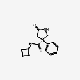 O=C1C[C@](C(=O)NC2CCC2)(c2ccccc2)CN1